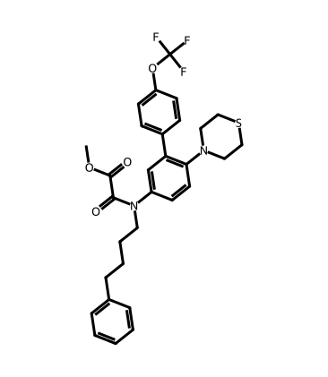 COC(=O)C(=O)N(CCCCc1ccccc1)c1ccc(N2CCSCC2)c(-c2ccc(OC(F)(F)F)cc2)c1